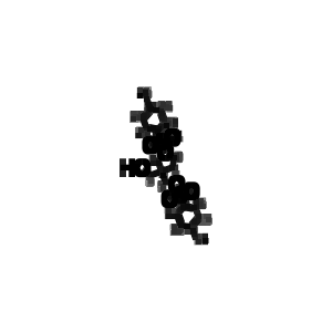 CCC(CO)(COS(=O)(=O)c1ccc(C)cc1)COS(=O)(=O)c1ccc(C)cc1